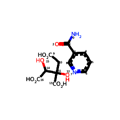 NC(=O)c1cccnc1.O=C(O)CC(O)(C(=O)O)C(O)C(=O)O